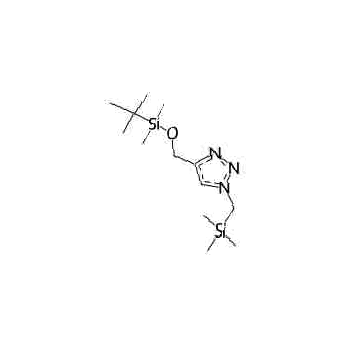 CC(C)(C)[Si](C)(C)OCc1cn(C[Si](C)(C)C)nn1